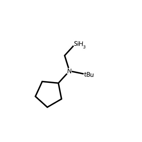 CC(C)(C)N(C[SiH3])C1CCCC1